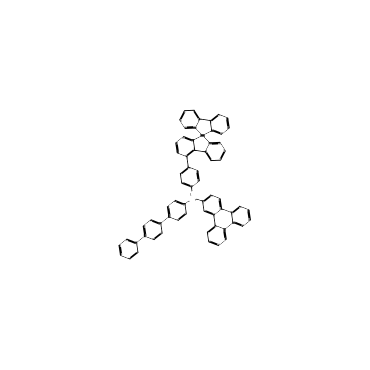 c1ccc(-c2ccc(-c3ccc(N(c4ccc(-c5cccc6c5-c5ccccc5C65c6ccccc6-c6ccccc65)cc4)c4ccc5c6ccccc6c6ccccc6c5c4)cc3)cc2)cc1